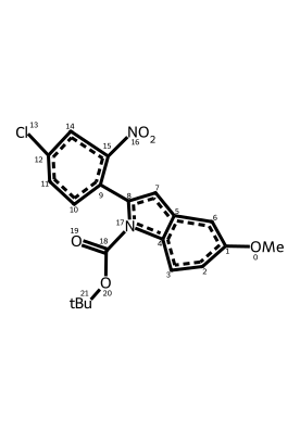 COc1ccc2c(c1)cc(-c1ccc(Cl)cc1[N+](=O)[O-])n2C(=O)OC(C)(C)C